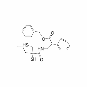 CCCC(S)(CS)C(=O)NCC(C(=O)OCc1ccccc1)c1ccccc1